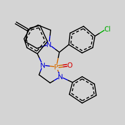 C=C1CCN(C(c2ccc(Cl)cc2)P2(=O)N(c3ccccc3)CCN2c2ccccc2)CC1